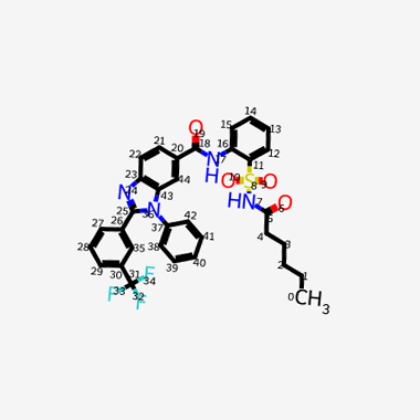 CCCCCC(=O)NS(=O)(=O)c1ccccc1NC(=O)c1ccc2nc(-c3cccc(C(F)(F)F)c3)n(-c3ccccc3)c2c1